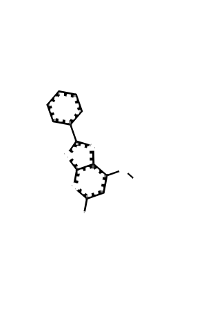 COc1cc(C)nc2[nH]c(-c3ccccc3)nc12